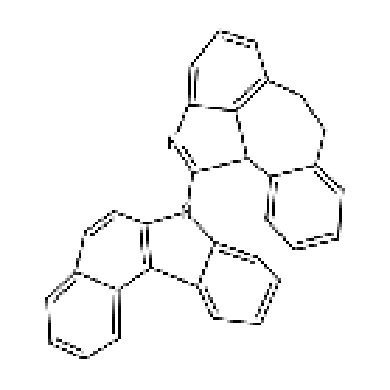 c1ccc2c(c1)CCc1cccc3c1C2C(n1c2ccccc2c2c4ccccc4ccc21)=N3